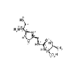 CC(O)[C@H](NC(=O)NCc1nc([C@@H](N)CS)no1)C(=O)O